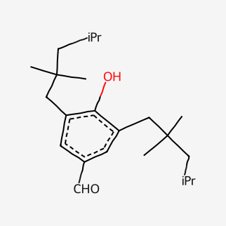 CC(C)CC(C)(C)Cc1cc(C=O)cc(CC(C)(C)CC(C)C)c1O